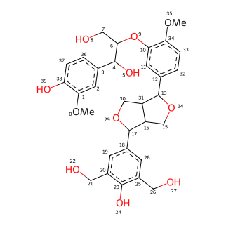 COc1cc(C(O)C(CO)Oc2cc(C3OCC4C(c5cc(CO)c(O)c(CO)c5)OCC34)ccc2OC)ccc1O